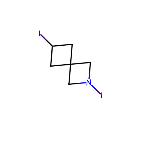 IC1CC2(C1)CN(I)C2